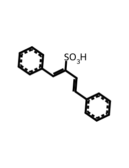 O=S(=O)(O)C(C=Cc1ccccc1)=Cc1ccccc1